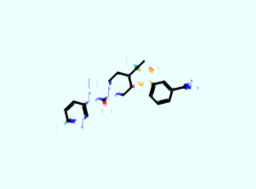 CC(F)(C1CCN(C(=O)Nc2ccc(F)nc2)CC1)S(=O)(=O)c1cccc(C#N)c1